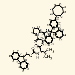 CC(C)[C@H](NC(=O)OCC1c2ccccc2-c2ccccc21)C(=O)N[C@@H](CC(=O)OC(c1ccccc1)(c1ccc(C2CCCCCCC2)cc1)c1ccccc1Cl)C(=O)N1CCCC1